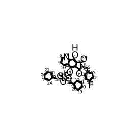 O=C1c2c(c(O)c3ncccc3c2OCP(=O)(OCc2ccccc2)OCc2ccccc2)C(=O)N1Cc1ccc(F)cc1